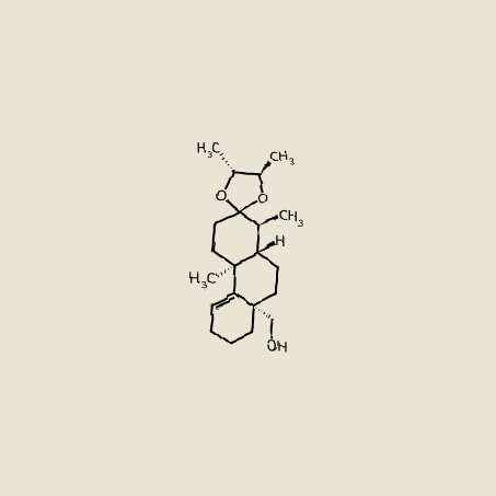 C[C@H]1OC2(CC[C@]3(C)C4=CCCC[C@]4(CO)CC[C@H]3[C@@H]2C)O[C@@H]1C